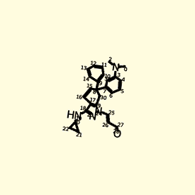 CN(C)c1cccc(C2(c3ccccc3)C=Cc3c(NC4CC4)nn(C=CC=O)c3C2)c1